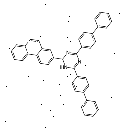 c1ccc(-c2ccc(C3=NC(c4ccc5c(ccc6ccccc65)c4)NC(c4ccc(-c5ccccc5)cc4)=N3)cc2)cc1